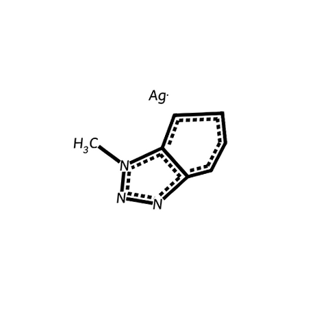 Cn1nnc2ccccc21.[Ag]